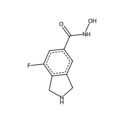 O=C(NO)c1cc(F)c2c(c1)CNC2